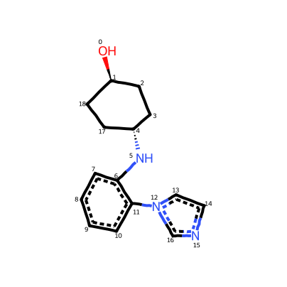 O[C@H]1CC[C@H](Nc2ccccc2-n2ccnc2)CC1